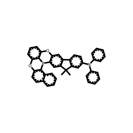 CC1(C)c2cc(N(c3ccccc3)c3ccccc3)ccc2-c2cc3c(cc21)B1c2c(cccc2Oc2ccc4ccccc4c21)O3